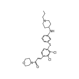 CCCN1CCC(Nc2cccc(Sc3ccc(C=CC(=O)N4CCOCC4)c(Cl)c3Cl)c2)CC1